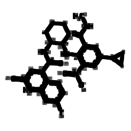 CNC(=O)c1cc(C2CC2)cc([N+](=O)[O-])c1N[C@@H]1CCCC[C@@H]1NC(=O)c1cc(=O)[nH]c2cc(F)ccc12